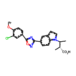 CC(C)Oc1ccc(-c2nc(-c3ccc4c(ccn4C(C)[C@@H](C)C(=O)O)c3)no2)cc1Cl